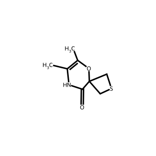 CC1=C(C)OC2(CSC2)C(=O)N1